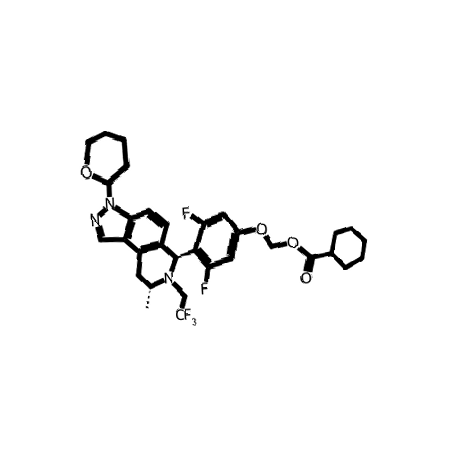 C[C@@H]1Cc2c(ccc3c2cnn3C2CCCCO2)[C@@H](c2c(F)cc(OCOC(=O)C3CCCCC3)cc2F)N1CC(F)(F)F